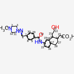 CN1CCN(N=Cc2ccc(C(=O)Nc3ccc4c(c3)C(CCO)C(CC(=O)O)CC4)cc2)CC1